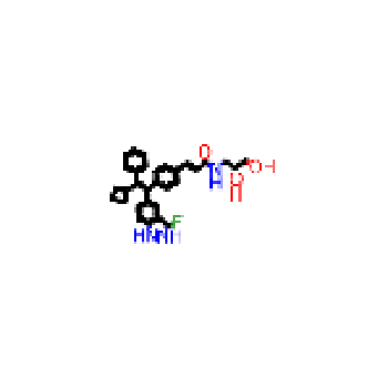 O=C(/C=C/c1ccc(/C(=C(\c2ccccc2)C2CCC2)c2ccc3c(c2)C(F)NN3)cc1)NC[C@@H](O)CO